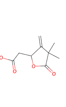 C=C1C(CC(=O)O)OC(=O)C1(C)C